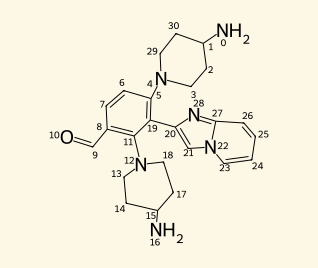 NC1CCN(c2ccc(C=O)c(N3CCC(N)CC3)c2-c2cn3ccccc3n2)CC1